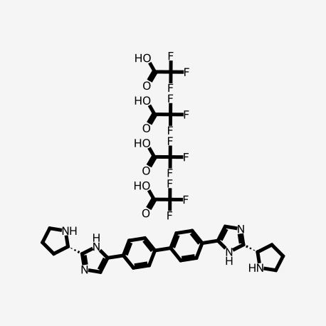 O=C(O)C(F)(F)F.O=C(O)C(F)(F)F.O=C(O)C(F)(F)F.O=C(O)C(F)(F)F.c1cc(-c2cnc([C@@H]3CCCN3)[nH]2)ccc1-c1ccc(-c2cnc([C@@H]3CCCN3)[nH]2)cc1